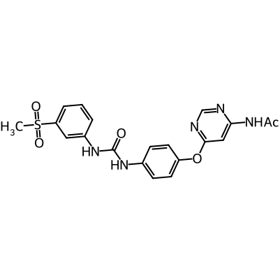 CC(=O)Nc1cc(Oc2ccc(NC(=O)Nc3cccc(S(C)(=O)=O)c3)cc2)ncn1